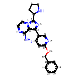 Nc1nccn2c(C3CCCN3)nc(-c3ccc(OCc4ccccc4)nc3)c12